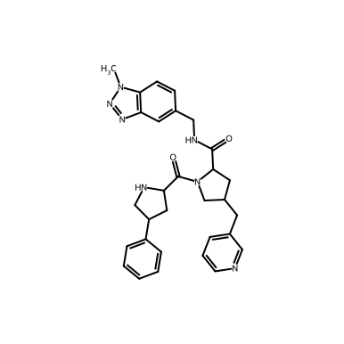 Cn1nnc2cc(CNC(=O)C3CC(Cc4cccnc4)CN3C(=O)C3CC(c4ccccc4)CN3)ccc21